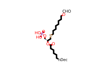 CCCCCCCCCCCCCCCC(=O)O[C@H](COP(=O)(O)O)CSCCCCCCCCOC=O